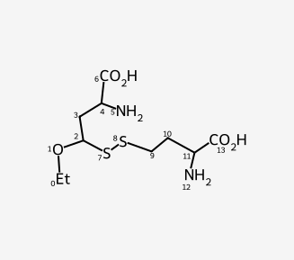 CCOC(CC(N)C(=O)O)SSCCC(N)C(=O)O